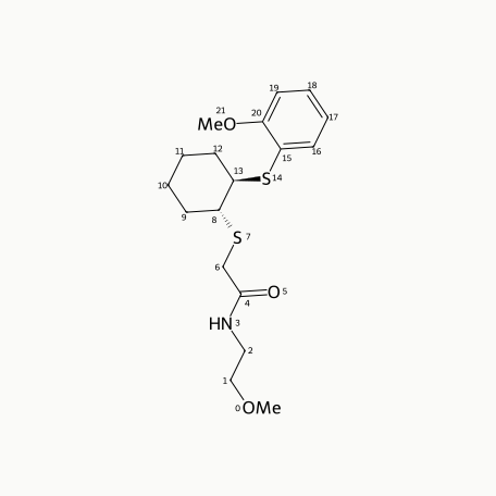 COCCNC(=O)CS[C@@H]1CCCC[C@H]1Sc1ccccc1OC